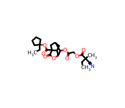 CCC1(OC(=O)C23CC4CC2C(OC3=O)C4OC(=O)COC(=O)C(C)(C#N)CC)CCCC1